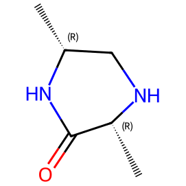 C[C@@H]1CN[C@H](C)C(=O)N1